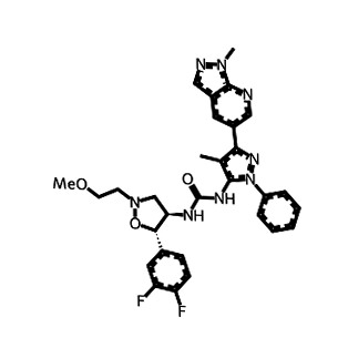 COCCN1C[C@@H](NC(=O)Nc2c(C)c(-c3cnc4c(cnn4C)c3)nn2-c2ccccc2)[C@H](c2ccc(F)c(F)c2)O1